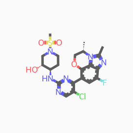 Cc1nc2c(F)cc(-c3nc(N[C@@H]4CCN(S(C)(=O)=O)C[C@H]4O)ncc3Cl)c3c2n1[C@@H](C)CO3